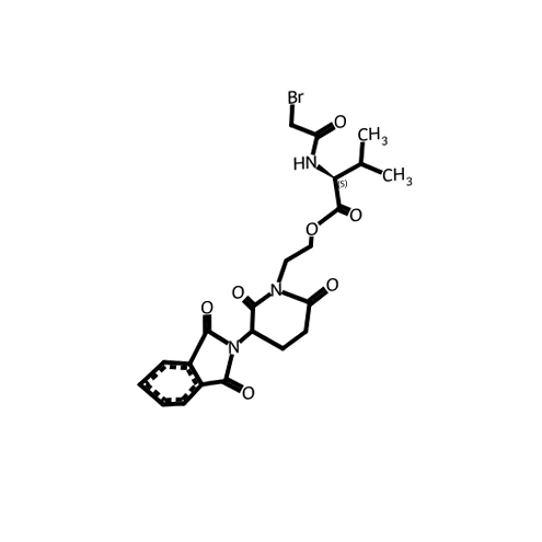 CC(C)[C@H](NC(=O)CBr)C(=O)OCCN1C(=O)CCC(N2C(=O)c3ccccc3C2=O)C1=O